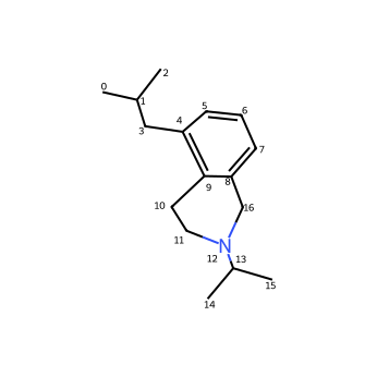 CC(C)Cc1cccc2c1CCN(C(C)C)C2